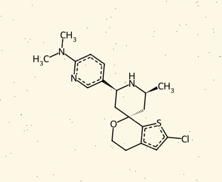 C[C@H]1C[C@@]2(C[C@@H](c3ccc(N(C)C)nc3)N1)OCCc1cc(Cl)sc12